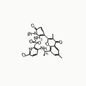 Cc1cc([C@@H](C)Nc2ccc(Cl)nc2S(N)(=O)=O)c2oc(-c3ccc(=O)n(C(C)C)c3)c(C)c(=O)c2c1